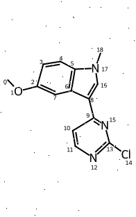 COc1ccc2c(c1)c(-c1ccnc(Cl)n1)cn2C